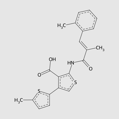 C/C(=C\c1ccccc1C)C(=O)Nc1scc(-c2ccc(C)s2)c1C(=O)O